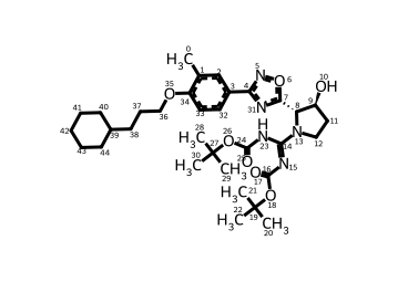 Cc1cc(-c2noc([C@@H]3[C@@H](O)CCN3/C(=N/C(=O)OC(C)(C)C)NC(=O)OC(C)(C)C)n2)ccc1OCCCC1CCCCC1